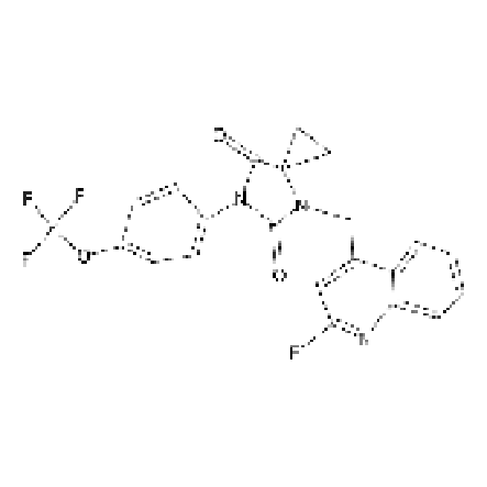 O=C1N(c2ccc(OC(F)(F)F)cc2)C(=O)C2(CC2)N1Cc1cc(F)nc2ccccc12